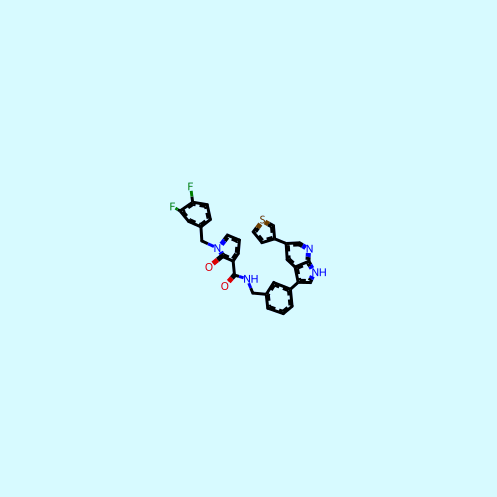 O=C(NCc1cccc(-c2c[nH]c3ncc(-c4ccsc4)cc23)c1)c1cccn(Cc2ccc(F)c(F)c2)c1=O